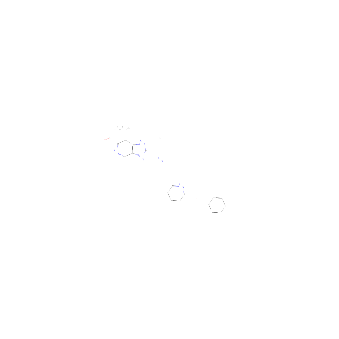 COC(=O)c1cc2c(cn1)nc(CN1CCC(c3cccc(OCc4ccc(Cl)cc4F)n3)CC1)n2C